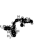 CO[C@H]1OCCN2[C@@H]1O[C@@H]1[C@H](C)O[C@@H](O[C@H]3C[C@](O)(C(=O)N4CCN(C(=O)OCc5ccc(NC(=O)CNC(=O)[C@H](CC(C)C)NC(=O)[C@H](Cc6ccccc6)NC(=O)CCCCCN6C(=O)C=CC6=O)cc5)CC4)Cc4c(O)c5c(c(O)c43)C(=O)c3c(N)cccc3C5=O)C[C@@H]12